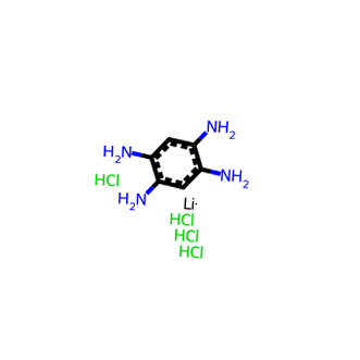 Cl.Cl.Cl.Cl.Nc1cc(N)c(N)cc1N.[Li]